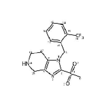 CS(=O)(=O)c1nc2c(n1Cc1ccccc1C(F)(F)F)CCNC2